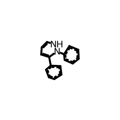 C1=CNN(c2ccccc2)C(c2ccccc2)=C1